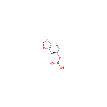 OB(O)Oc1ccc2c(c1)OCO2